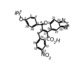 CC(C)Oc1ccc(C(=O)/C(Cc2ccc([N+](=O)[O-])cc2)=C(/C(=O)O)c2ccc3nsnc3c2)cc1